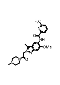 COc1cc2nn(CC(=O)N3CCN(C)CC3)c(C)c2cc1NC(=O)c1cccc(C(F)(F)F)n1